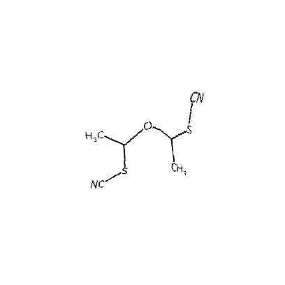 CC(OC(C)SC#N)SC#N